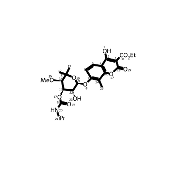 CCOC(=O)c1c(O)c2ccc(O[C@@H]3OC(C)(C)[C@H](OC)[C@H](OC(=O)NC(C)C)[C@H]3O)c(C)c2oc1=O